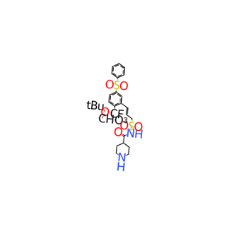 CC(C)(C)OC=O.O=C(NS(=O)(=O)CC=Cc1cc(S(=O)(=O)c2ccccc2)ccc1C(F)(F)F)C1CCNCC1